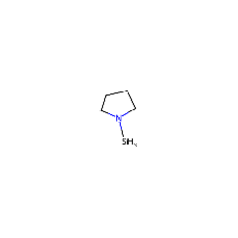 [SiH3]N1CCCC1